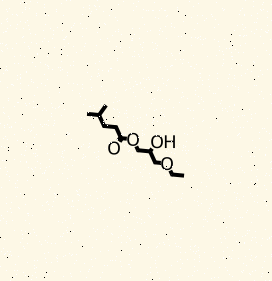 CCOCC(O)COC(=O)CCC(C)C